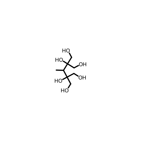 CC(C(O)(CO)CO)C(O)(CO)CO